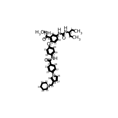 CCC(CC)NC(=O)Nc1ccc(Oc2ccc(NC(=O)c3ccc(-n4ccc(CN5CCCCC5)c4)cc3)cc2)c(C(=O)NC)c1